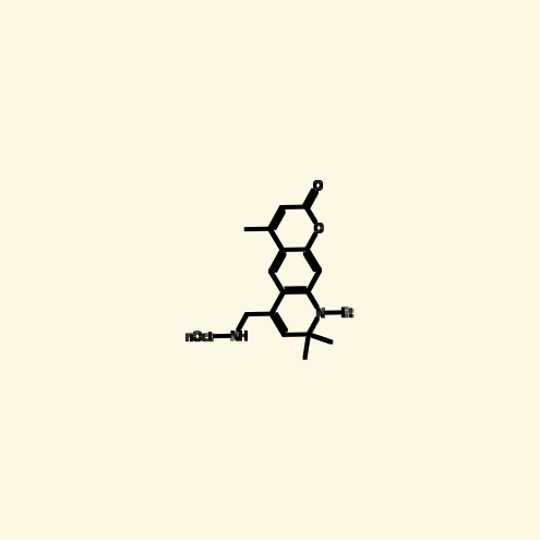 CCCCCCCCNCC1=CC(C)(C)N(CC)c2cc3oc(=O)cc(C)c3cc21